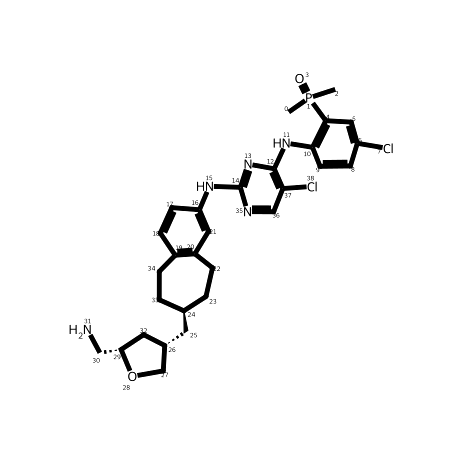 CP(C)(=O)c1cc(Cl)ccc1Nc1nc(Nc2ccc3c(c2)CC[C@@H](C[C@@H]2CO[C@H](CN)C2)CC3)ncc1Cl